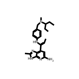 C/C=C(\Nc1ccc(CN(C)C(CC)CC)cc1)c1cc(N)nc2[nH]c(C)nc12